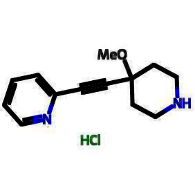 COC1(C#Cc2ccccn2)CCNCC1.Cl